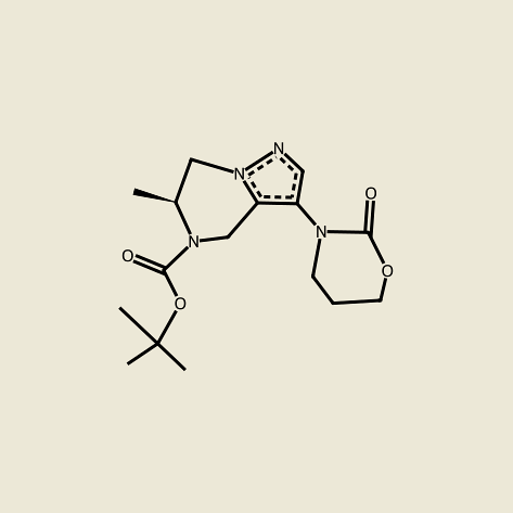 C[C@H]1Cn2ncc(N3CCCOC3=O)c2CN1C(=O)OC(C)(C)C